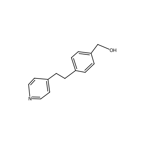 OCc1ccc(CCc2ccncc2)cc1